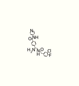 NC(CNC(=O)Cc1ccc(F)c(Cl)c1)c1ccc(C(=O)Nc2ccncc2)cc1